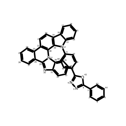 c1ccc(-c2nnc(-c3ccc(-n4c5ccccc5c5ccc6c7ccccc7c7nc8ccccc8n7c6c54)cc3)o2)cc1